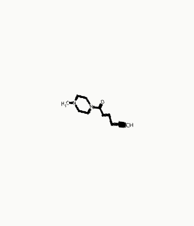 C#CCCCC(=O)N1CCN(C)CC1